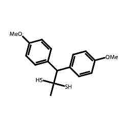 COc1ccc(C(c2ccc(OC)cc2)C(C)(S)S)cc1